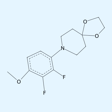 COc1ccc(N2CCC3(CC2)OCCO3)c(F)c1F